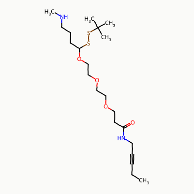 CCC#CCNC(=O)CCOCCOCCOC(CCCNC)SSC(C)(C)C